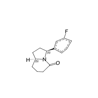 O=C1CCC[C@H]2CC[C@@H](c3cccc(F)c3)N12